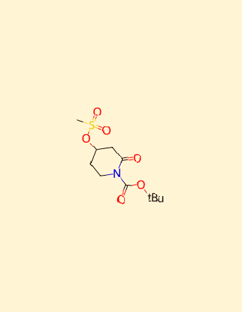 CC(C)(C)OC(=O)N1CCC(OS(C)(=O)=O)CC1=O